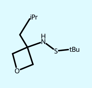 CC(C)CC1(NSC(C)(C)C)COC1